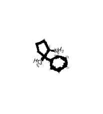 N[C@@H]1CCCC1(O)c1ccccc1